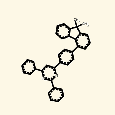 CC1(C)c2ccccc2-c2c(-c3ccc(-c4cc(-c5ccccc5)nc(-c5ccccc5)n4)cc3)cccc21